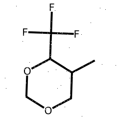 CC1COCOC1C(F)(F)F